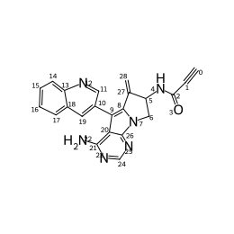 C#CC(=O)NC1Cn2c(c(-c3cnc4ccccc4c3)c3c(N)ncnc32)C1=C